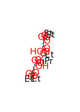 CCCC1(CCCCC2(CC)OC(=O)C(/C=C/C=C/C=C3C(=O)OC(CC)(CC)OC3=O)=C(O)O2)OC(=O)C(/C=C/C=C/C=C2C(=O)OC(CC)(CC)OC2=O)=C(O)O1